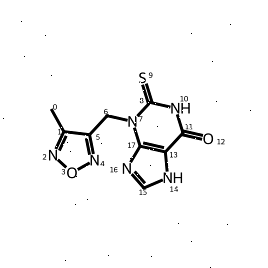 Cc1nonc1Cn1c(=S)[nH]c(=O)c2[nH]cnc21